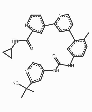 Cc1ccc(NC(=O)Nc2ccnc(C(C)(C)C#N)c2)cc1-c1ccnc(-c2ccnc(C(=O)NC3CC3)c2)c1